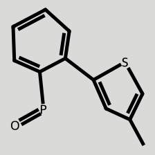 Cc1csc(-c2ccccc2P=O)c1